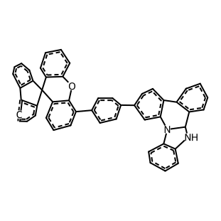 c1ccc2c(c1)NC1c3ccccc3-c3ccc(-c4ccc(-c5cccc6c5Oc5ccccc5C65c6ccccc6-c6ccccc65)cc4)cc3N21